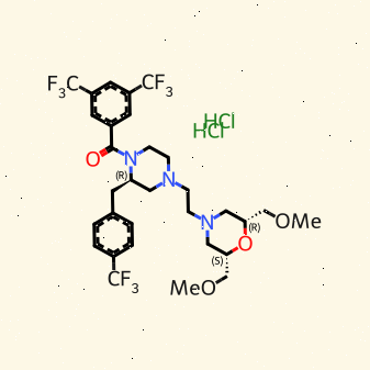 COC[C@@H]1CN(CCN2CCN(C(=O)c3cc(C(F)(F)F)cc(C(F)(F)F)c3)[C@H](Cc3ccc(C(F)(F)F)cc3)C2)C[C@H](COC)O1.Cl.Cl